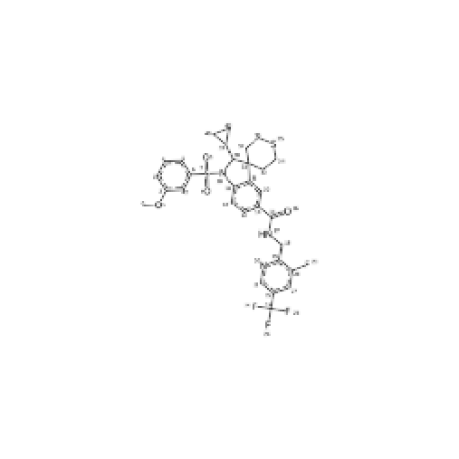 COc1cccc(S(=O)(=O)N2c3ccc(C(=O)NCc4ncc(C(F)(F)F)cc4F)cc3C3(CCSCC3)C2C2CC2)c1